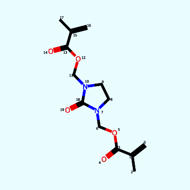 C=C(C)C(=O)OCN1CCN(COC(=O)C(=C)C)C1=O